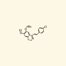 CCCCOc1cc2c(cc1OCC)CCN=C2/C=C/c1ccc(Cl)cc1